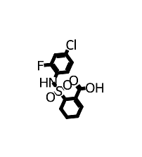 O=C(O)C1=CCCCC1S(=O)(=O)Nc1ccc(Cl)cc1F